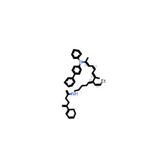 C=C(CCC(=C)C1=CC=CCC1)NCCCC/C=C(\C=C/CC)C(/C)=C/C=C\C=C(/C)N(c1ccccc1)c1ccc(-c2ccccc2)cc1